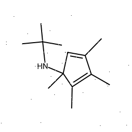 CC1=[C]C(C)(NC(C)(C)C)C(C)=C1C